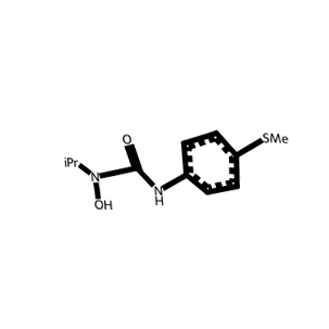 CSc1ccc(NC(=O)N(O)C(C)C)cc1